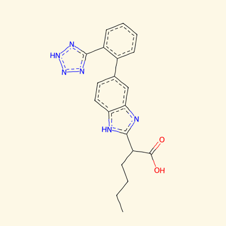 CCCCC(C(=O)O)c1nc2cc(-c3ccccc3-c3nn[nH]n3)ccc2[nH]1